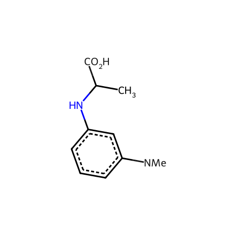 CNc1cccc(NC(C)C(=O)O)c1